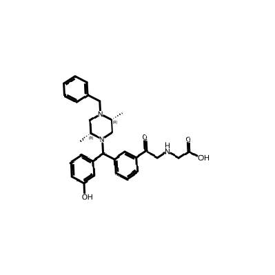 C[C@@H]1CN(C(c2cccc(O)c2)c2cccc(C(=O)CNCC(=O)O)c2)[C@H](C)CN1Cc1ccccc1